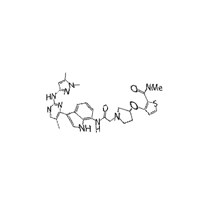 CNC(=O)c1sccc1OC1CCN(CC(=O)Nc2cccc3c(-c4nc(Nc5cc(C)n(C)n5)ncc4C)c[nH]c23)C1